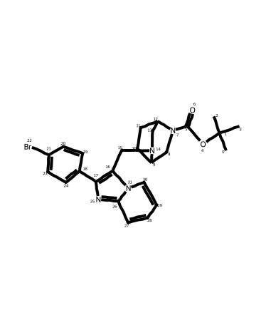 CC(C)(C)OC(=O)N1CC2CCC1CN2Cc1c(-c2ccc(Br)cc2)nc2ccccn12